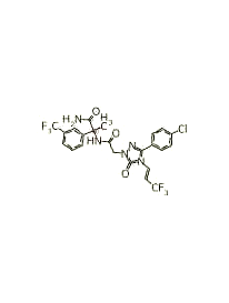 C[C@](NC(=O)Cn1nc(-c2ccc(Cl)cc2)n(C=CC(F)(F)F)c1=O)(C(N)=O)c1cccc(C(F)(F)F)c1